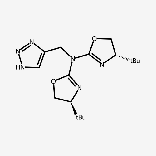 CC(C)(C)[C@H]1COC(N(Cc2c[nH]nn2)C2=N[C@@H](C(C)(C)C)CO2)=N1